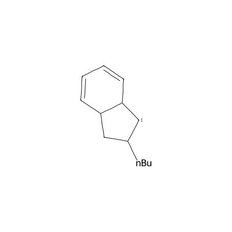 CCCCC1[C]C2C=CC=CC2C1